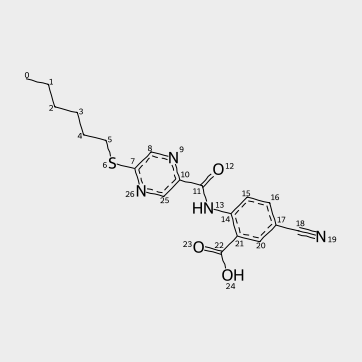 CCCCCCSc1cnc(C(=O)Nc2ccc(C#N)cc2C(=O)O)cn1